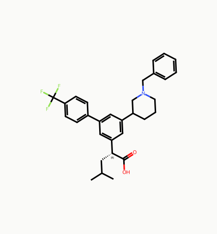 CC(C)C[C@@H](C(=O)O)c1cc(-c2ccc(C(F)(F)F)cc2)cc(C2CCCN(Cc3ccccc3)C2)c1